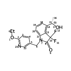 CCOc1ccc(CN2C(=O)C(F)(F)c3c([C@H](C)O)cccc32)cn1